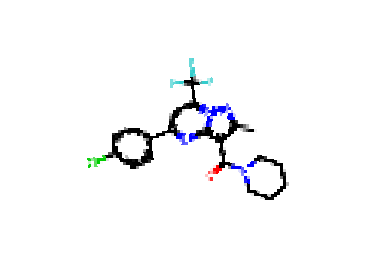 Cc1nn2c(C(F)(F)F)cc(-c3ccc(Cl)cc3)nc2c1C(=O)N1CCCCC1